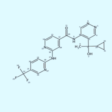 CC(O)(c1cnncc1NC(=O)c1ccnc(Nc2ccc(C(F)(F)F)cn2)c1)C1CC1